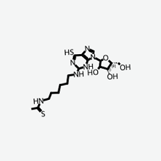 CC(=S)NCCCCCCNC1N=C(S)c2ncn(C3O[C@H](CO)[C@H](O)C3O)c2N1